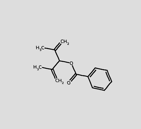 C=C(C)C(OC(=O)c1ccccc1)C(=C)C